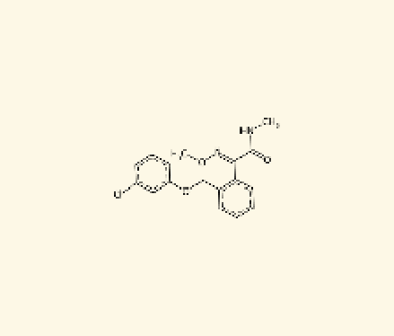 CNC(=O)/C(=N/OC)c1ccccc1COc1cccc(Cl)c1